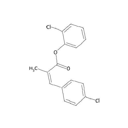 CC(=Cc1ccc(Cl)cc1)C(=O)Oc1ccccc1Cl